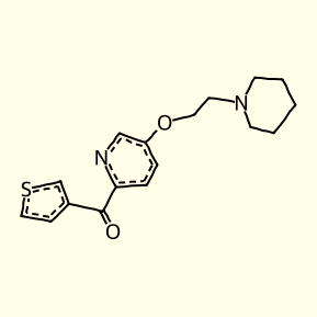 O=C(c1ccsc1)c1ccc(OCCN2CCCCC2)cn1